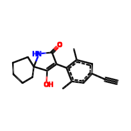 C#Cc1cc(C)c(C2=C(O)C3(CCCCC3)NC2=O)c(C)c1